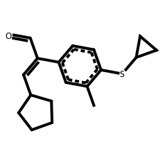 Cc1cc(/C(C=O)=C\C2CCCC2)ccc1SC1CC1